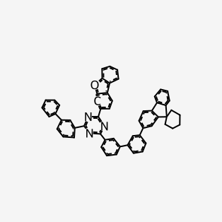 c1ccc(-c2cccc(-c3nc(-c4cccc(-c5cccc(-c6ccc7c(c6)C6(CCCCC6)c6ccccc6-7)c5)c4)nc(-c4ccc5c(c4)oc4ccccc45)n3)c2)cc1